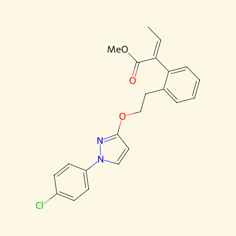 CC=C(C(=O)OC)c1ccccc1CCOc1ccn(-c2ccc(Cl)cc2)n1